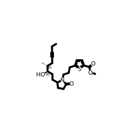 CCC#CC[C@@H](C)[C@H](O)CCC1CCC(=O)N1CCCc1ccc(C(=O)OC)s1